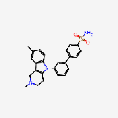 Cc1ccc2c(c1)c1c(n2-c2cccc(-c3ccc(S(N)(=O)=O)cc3)c2)CCN(C)C1